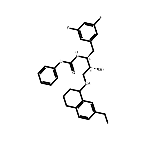 CCc1ccc2c(c1)C(NC[C@@H](O)[C@H](Cc1cc(F)cc(F)c1)NC(=O)Oc1ccccc1)CCC2